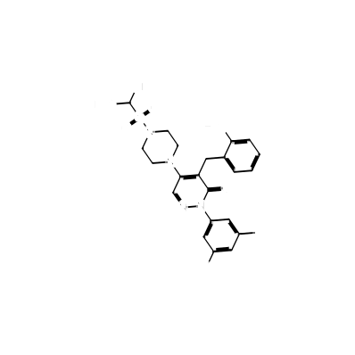 Cc1ccccc1Cc1c(N2CCN(S(=O)(=O)C(C)C)CC2)cnn(-c2cc(F)cc(F)c2)c1=O